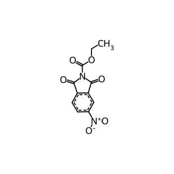 CCOC(=O)N1C(=O)c2ccc([N+](=O)[O-])cc2C1=O